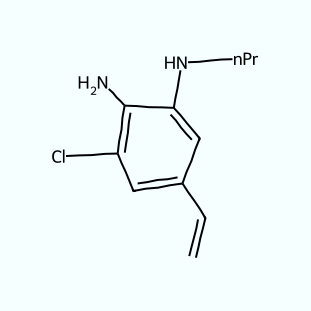 C=Cc1cc(Cl)c(N)c(NCCC)c1